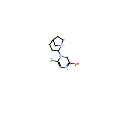 OC1=NC=C(Cl)N(C2CCC3CCN2C3)C1